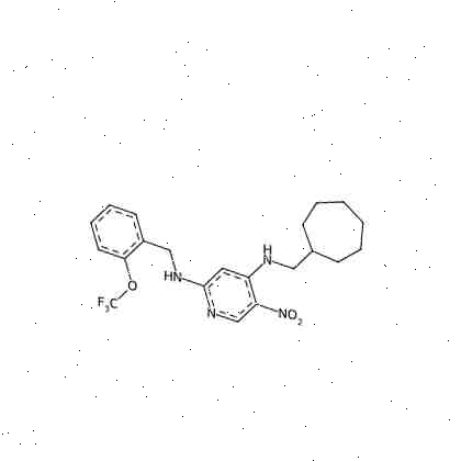 O=[N+]([O-])c1cnc(NCc2ccccc2OC(F)(F)F)cc1NCC1CCCCCC1